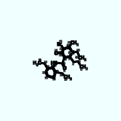 CCCc1c(C(=O)Nc2c(CC)cccc2CC)c(=O)c(Br)c(C)n1CC